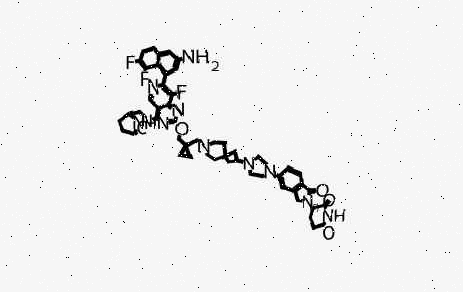 Nc1cc(-c2ncc3c(N4CC5CCC(C4)N5)nc(OCC4(CN5CCC6(CC5)CC(N5CCN(c7ccc8c(c7)CN([C@H]7CCC(=O)NC7=O)C8=O)CC5)C6)CC4)nc3c2F)c2c(F)c(F)ccc2c1